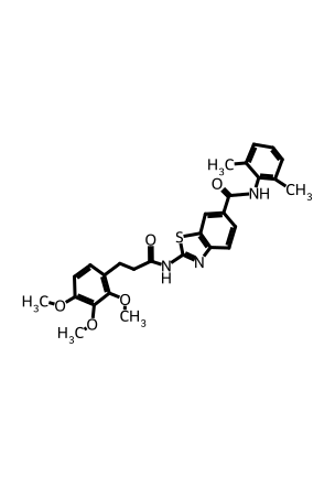 COc1ccc(CCC(=O)Nc2nc3ccc(C(=O)Nc4c(C)cccc4C)cc3s2)c(OC)c1OC